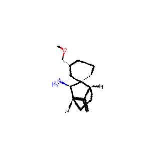 C=C1[C@H]2CC[C@@H]1[C@@H](N)[C@]21CCC[C@@H](COC)C1